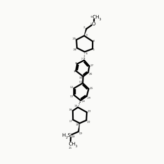 COC[C@H]1CC[C@H](c2ccc(-c3ccc([C@H]4CC[C@H](C[SiH2]C)CC4)cc3)cc2)CC1